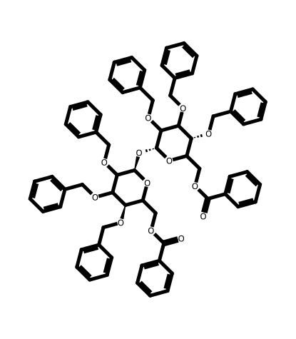 O=C(OCC1O[C@H](O[C@H]2OC(COC(=O)c3ccccc3)[C@@H](OCc3ccccc3)C(OCc3ccccc3)C2OCc2ccccc2)C(OCc2ccccc2)C(OCc2ccccc2)[C@@H]1OCc1ccccc1)c1ccccc1